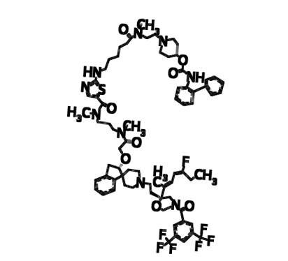 CC/C(F)=C\C=C(/C)[C@]1(CCN2CCC3(CC2)c2ccccc2C[C@@H]3OCC(=O)N(C)CCCN(C)C(=O)c2cnc(NCCCCCC(=O)N(C)CCN3CCC(OC(=O)Nc4ccccc4-c4ccccc4)CC3)s2)CN(C(=O)c2cc(C(F)(F)F)cc(C(F)(F)F)c2)CO1